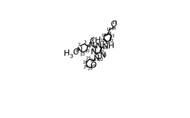 CN1CCC(N(C)c2nc(Nc3ccc(CC=O)cc3)c3ncn(C4CCCCO4)c3n2)CC1